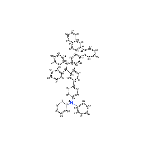 C1=CCC(N(C2=CC=C(c3ccc4c(c3)C(c3ccccc3)C(c3ccccc3)c3cc(-c5cc6ccccc6cc5-c5ccccc5)ccc3-4)CC2)c2ccccc2)C=C1